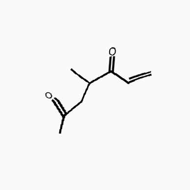 C=CC(=O)C(C)CC(C)=O